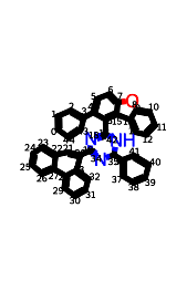 c1ccc(-c2ccc3oc4ccccc4c3c2C2=NC(c3cc4ccccc4c4ccccc34)=NC(c3ccccc3)N2)cc1